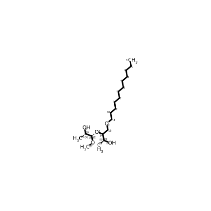 CCCCCCCCCCCCOCC(O[C@H](OC)[C@H](C)O)[C@H](C)O